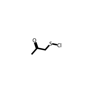 CC(=O)CSCl